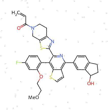 C=CC(=O)N1CCc2nc(-c3nc(-c4ccc5c(c4)C(O)CC5)c4ccsc4c3-c3ccc(F)cc3OCCOC)sc2C1